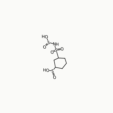 O=S(O)NS(=O)(=O)C1CCCC(S(=O)O)C1